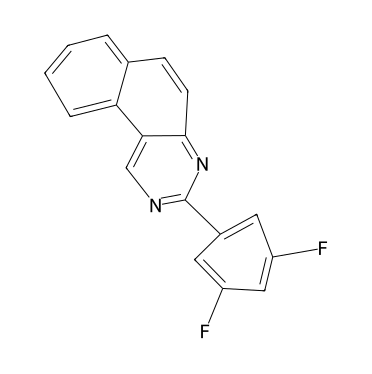 Fc1cc(F)cc(-c2ncc3c(ccc4ccccc43)n2)c1